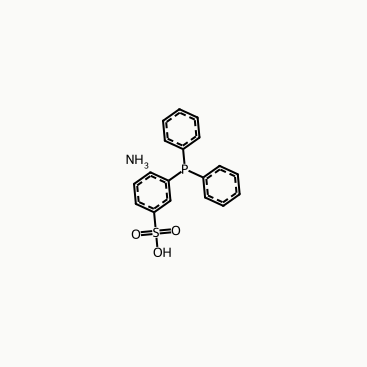 N.O=S(=O)(O)c1cccc(P(c2ccccc2)c2ccccc2)c1